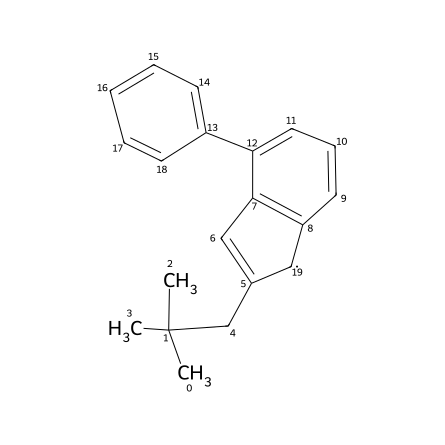 CC(C)(C)CC1=Cc2c(cccc2-c2ccccc2)[CH]1